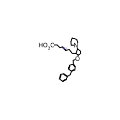 O=C(O)CC/C=C/CCC1C(OCc2ccc(Cc3ccccc3)cc2)CCC1N1CCCCC1